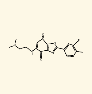 Cc1ccc(-c2nc3c(o2)C(=O)C=C(NCCN(C)C)C3=O)cc1F